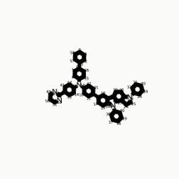 c1ccc(-c2ccc(N(c3ccc(-c4ccc5c(c4)c4ccc6c(ccn6-c6ccccc6)c4n5-c4ccccc4)cc3)c3ccc(-c4ncccn4)cc3)cc2)cc1